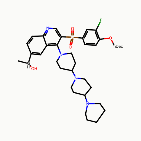 CCCCCCCCCCOc1ccc(S(=O)(=O)c2cnc3ccc([SiH](C)O)cc3c2N2CCC(N3CCC(N4CCCCC4)CC3)CC2)cc1F